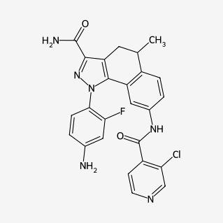 CC1Cc2c(C(N)=O)nn(-c3ccc(N)cc3F)c2-c2cc(NC(=O)c3ccncc3Cl)ccc21